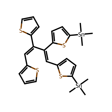 [CH3][Sn]([CH3])([CH3])[c]1ccc(C=C(/C(=C\c2cccs2)c2cccs2)c2cc[c]([Sn]([CH3])([CH3])[CH3])s2)s1